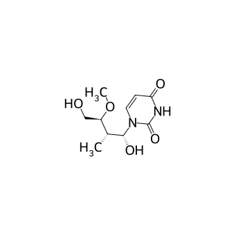 CO[C@H](CO)[C@@H](C)[C@@H](O)n1ccc(=O)[nH]c1=O